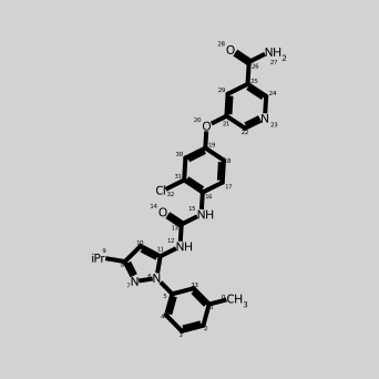 Cc1cccc(-n2nc(C(C)C)cc2NC(=O)Nc2ccc(Oc3cncc(C(N)=O)c3)cc2Cl)c1